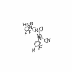 N#Cc1ccc(-n2nc(C(=O)N3CCC(n4c(=O)[nH]c5ccc(F)c(F)c54)CC3)cc2-c2cccnc2)cc1F